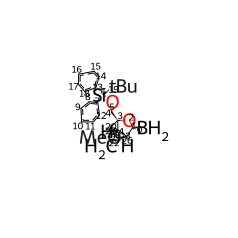 B[C@@H]1O[C@@]2(CO[Si](c3ccccc3)(c3ccccc3)C(C)(C)C)CC(=C)[C@@H]1[C@@H]2OC